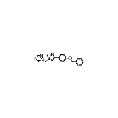 c1ccc(COc2ccc(-c3cc(Cn4cncn4)on3)cc2)cc1